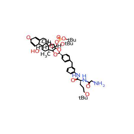 CC(C)(C)OCCC[C@H](NC(=O)CN)C(=O)Nc1cccc(Cc2ccc([C@@H]3O[C@@H]4C[C@H]5[C@@H]6CCC7=CC(=O)C=C[C@]7(C)[C@H]6[C@@H](O)C[C@]5(C)[C@]4(C(=O)COP(=O)(OC(C)(C)C)OC(C)(C)C)O3)cc2)c1